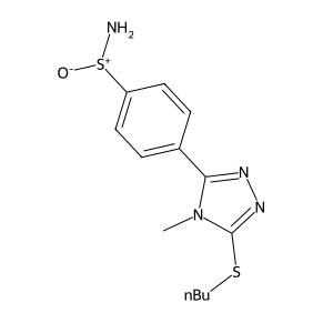 CCCCSc1nnc(-c2ccc([S+](N)[O-])cc2)n1C